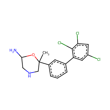 CC1(c2cccc(-c3cc(Cl)cc(Cl)c3Cl)c2)CNCC(N)O1